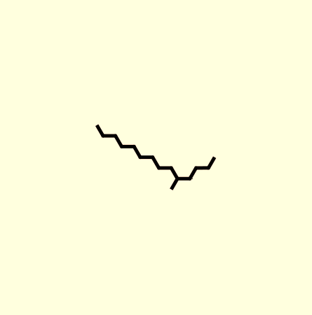 CCC[CH]C(C)CCCCCCCCC